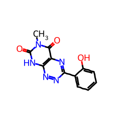 Cn1c(=O)[nH]c2nnc(-c3ccccc3O)nc2c1=O